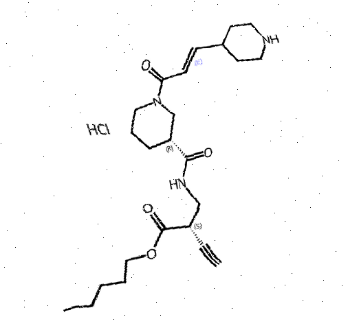 C#C[C@@H](CNC(=O)[C@@H]1CCCN(C(=O)/C=C/C2CCNCC2)C1)C(=O)OCCCCC.Cl